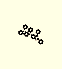 c1ccc(-c2nc(-c3ccccc3)c3cc(-n4c5ccccc5c5c4ccc4c6ccccc6n(-c6ccccc6)c45)ccc3n2)cc1